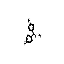 CCCC(c1ccc(F)cc1)c1ccc(F)cc1